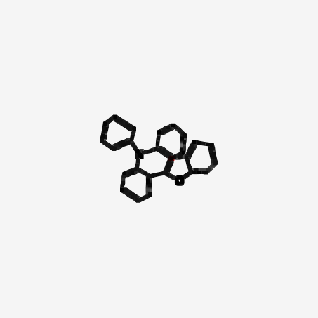 c1ccc(N(c2ccccc2)c2ccccc2-c2cc3ccccc3o2)cc1